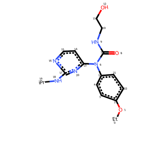 CCOc1ccc(N(C(=O)NCCO)c2ccnc(NC(C)C)n2)cc1